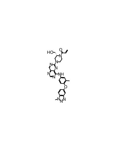 C=CC(=O)N1CCN(c2ncc3ncnc(Nc4ccc(Oc5ccc6c(c5)nnn6C)c(C)c4)c3n2)C[C@@H]1CO